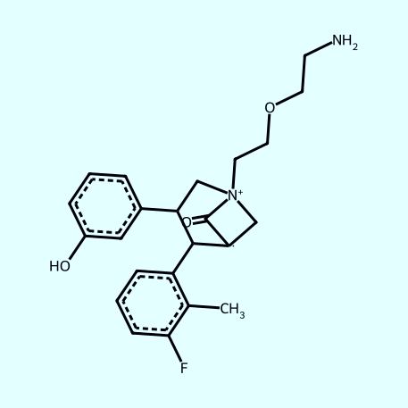 Cc1c(F)cccc1C1[C]2C[N+](CCOCCN)(CC1c1cccc(O)c1)C2=O